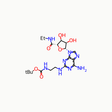 CCNC(=O)[C@H]1O[C@@H](n2cnc3c(N)nc(NCCNC(=O)OC(C)(C)C)nc32)[C@H](O)[C@@H]1O